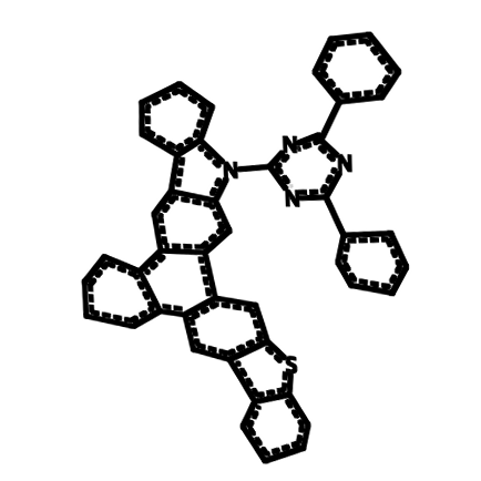 c1ccc(-c2nc(-c3ccccc3)nc(-n3c4ccccc4c4cc5c6ccccc6c6cc7c(cc6c5cc43)sc3ccccc37)n2)cc1